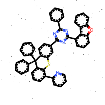 c1ccc(-c2nc(-c3ccc4c(c3)Sc3c(-c5ccccn5)cccc3C4(c3ccccc3)c3ccccc3)nc(-c3cccc4oc5ccccc5c34)n2)cc1